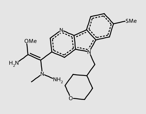 CO/C(N)=C(\c1cnc2c3ccc(SC)cc3n(CC3CCOCC3)c2c1)N(C)N